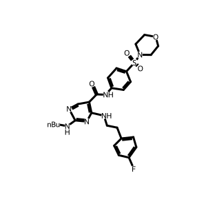 CCCCNc1ncc(C(=O)Nc2ccc(S(=O)(=O)N3CCOCC3)cc2)c(NCCc2ccc(F)cc2)n1